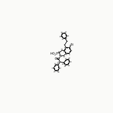 CCc1ccc2c(c1CCc1ccccc1)CC(C(=O)O)N(C(=O)C(c1ccccc1)c1ccccc1)C2